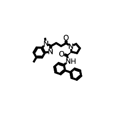 Cc1ccc2c(c1)nc(CCC(=O)N1CCC[C@H]1C(=O)Nc1ccccc1-c1ccccc1)n2C